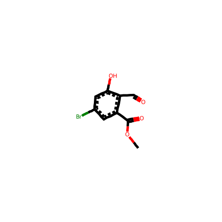 COC(=O)c1cc(Br)cc(O)c1C=O